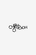 CC(C)(C)[Si](OC[C@@H]1CC[C@H](O)CO1)(c1ccccc1)c1ccccc1